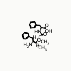 CC(=O)NC(Cc1ccccc1)C(=O)O.COC(OC)[C@@H](N)Cc1ccccc1